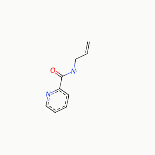 C=CC[N]C(=O)c1ccccn1